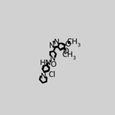 COc1cc2ncnc(C3CCN(C(=O)Nc4ccc(N5CCCCC5)c(Cl)c4)CC3)c2cc1OC